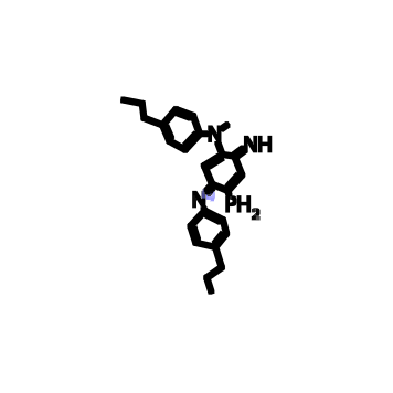 CCCc1ccc(/N=C2/C=C(N(C)c3ccc(CCC)cc3)C(=N)C=C2P)cc1